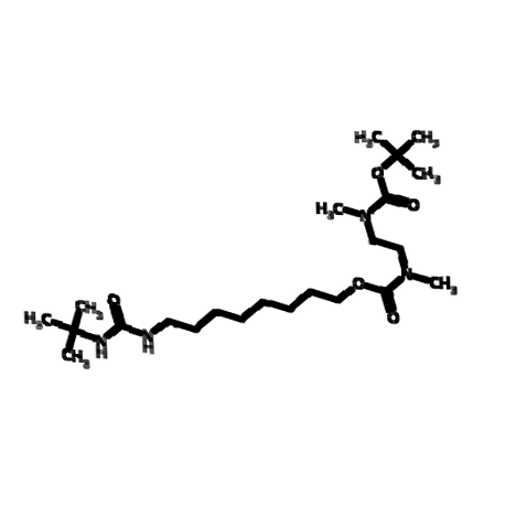 CN(CCN(C)C(=O)OC(C)(C)C)C(=O)OCCCCCCCCNC(=O)NC(C)(C)C